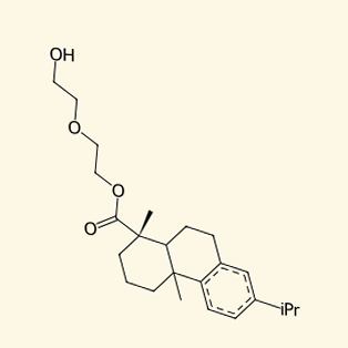 CC(C)c1ccc2c(c1)CCC1C2(C)CCC[C@]1(C)C(=O)OCCOCCO